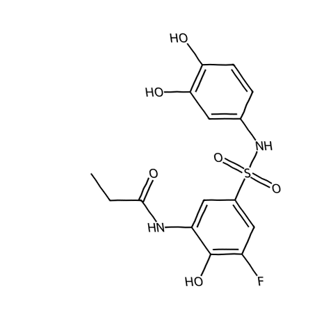 CCC(=O)Nc1cc(S(=O)(=O)Nc2ccc(O)c(O)c2)cc(F)c1O